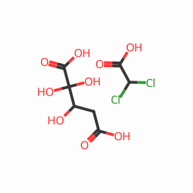 O=C(O)C(Cl)Cl.O=C(O)CC(O)C(O)(O)C(=O)O